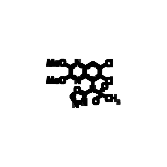 COc1nc2cc(Cl)c(Cl)c(N(c3nnco3)S(C)(=O)=O)c2nc1OC